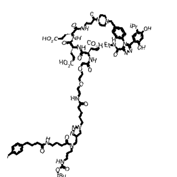 CCNC(=O)c1nnc(-c2cc(C(C)C)c(O)cc2O)n1-c1ccc(CN2CCN(C(=O)CCNC(=O)[C@@H](CCC(=O)O)NC(=O)[C@@H](CCC(=O)O)NC(=O)[C@@H](CCC(=O)O)NC(=O)COCCOCCNC(=O)CCCCN3CC(CN(CCCNC(=O)OC(C)(C)C)C(=O)CCCNC(=O)CCCc4ccc(I)cc4)N=N3)CC2)cc1